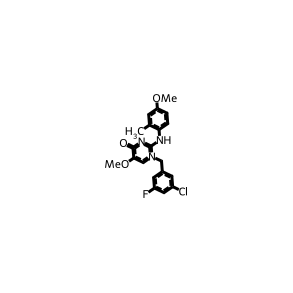 COc1ccc(Nc2nc(=O)c(OC)cn2Cc2cc(F)cc(Cl)c2)c(C)c1